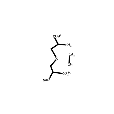 CNC(CSCC(N)C(=O)O)C(=O)O.CO